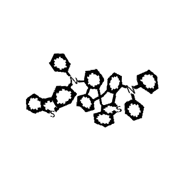 c1ccc(N(c2ccc3sc4ccccc4c3c2)c2cccc3c2-c2ccccc2C32c3cccc(N(c4ccccc4)c4ccccc4)c3-c3sc4ccccc4c32)cc1